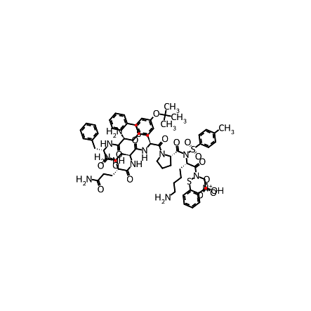 Cc1ccc(S(=O)(=O)N(C(=O)[C@@H]2CCCN2C(=O)[C@H](CSCc2ccccc2)NC(=O)[C@H](CC(N)=O)NC(=O)[C@H](CCC(N)=O)NC(=O)[C@H](Cc2ccccc2)NC(=O)[C@@H](N)Cc2ccc(OC(C)(C)C)cc2)[C@@H](CCCCN)C(=O)N(CC(=O)O)Sc2ccccc2[N+](=O)[O-])cc1